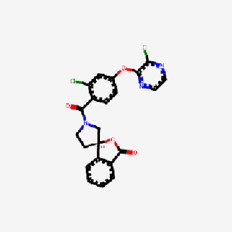 O=C1O[C@]2(CCN(C(=O)c3ccc(Oc4nccnc4Cl)cc3Cl)C2)c2ccccc21